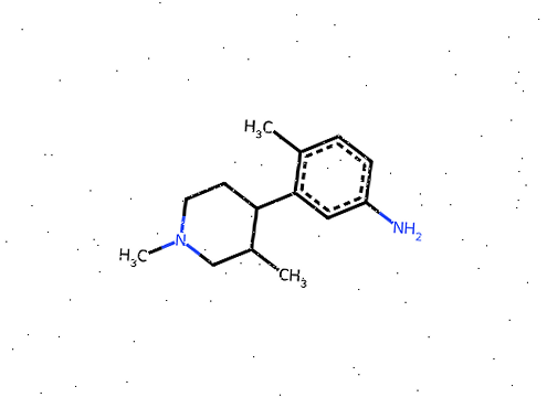 Cc1ccc(N)cc1C1CCN(C)CC1C